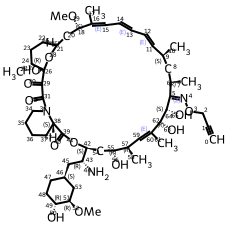 C#CCO/N=C1/[C@H](C)C[C@H](C)/C=C/C=C/C=C(\C)[C@@H](OC)C[C@@H]2CC[C@@H](C)[C@@](O)(O2)C(=O)C(=O)N2CCCC[C@H]2C(=O)O[C@H]([C@H](N)C[C@@H]2CC[C@@H](O)[C@H](OC)C2)C[C@@H](O)[C@H](C)/C=C(\C)[C@@H](O)[C@H]1O